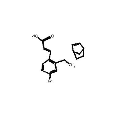 C1=CC2CCC1C2.CCc1cc(Br)ccc1C=CC(=O)O